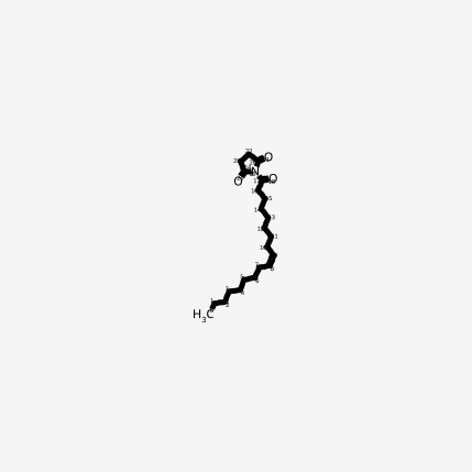 CCCCCCCC/C=C\CCCCCCCC(=O)N1C(=O)CCC1=O